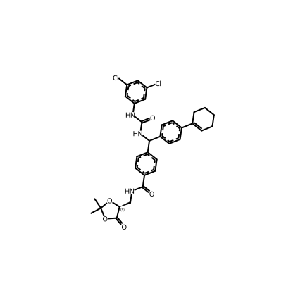 CC1(C)OC(=O)[C@H](CNC(=O)c2ccc(C(NC(=O)Nc3cc(Cl)cc(Cl)c3)c3ccc(C4=CCCCC4)cc3)cc2)O1